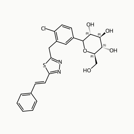 OC[C@H]1OC(c2ccc(Cl)c(Cc3nnc(C=Cc4ccccc4)s3)c2)[C@H](O)[C@@H](O)[C@@H]1O